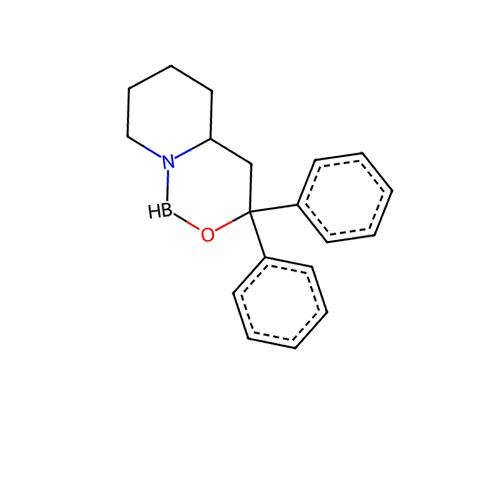 B1OC(c2ccccc2)(c2ccccc2)CC2CCCCN12